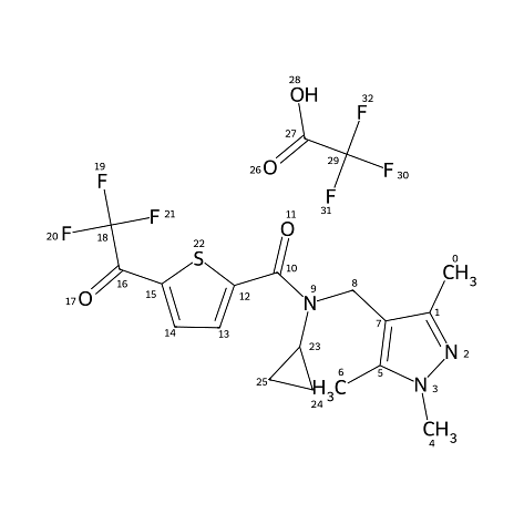 Cc1nn(C)c(C)c1CN(C(=O)c1ccc(C(=O)C(F)(F)F)s1)C1CC1.O=C(O)C(F)(F)F